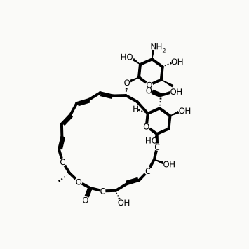 C[C@@H]1C/C=C/C=C/C=C/C=C/[C@H](O[C@@H]2O[C@H](C)[C@@H](O)[C@H](N)[C@@H]2O)C[C@@H]2O[C@](O)(C[C@@H](O)C/C=C/[C@H](O)CC(=O)O1)C[C@H](O)[C@H]2C(=O)O